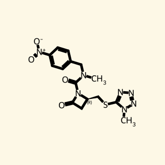 CN(Cc1ccc([N+](=O)[O-])cc1)C(=O)N1C(=O)C[C@@H]1CSc1nnnn1C